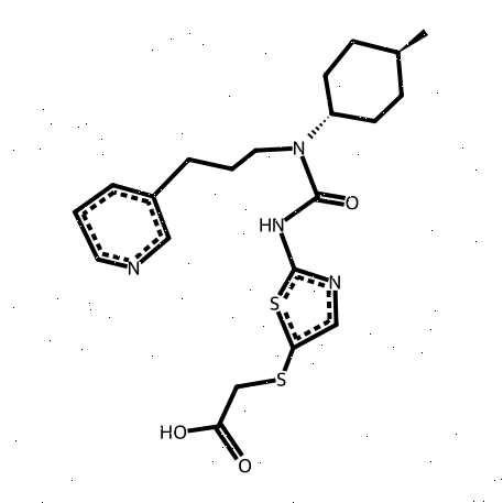 C[C@H]1CC[C@H](N(CCCc2cccnc2)C(=O)Nc2ncc(SCC(=O)O)s2)CC1